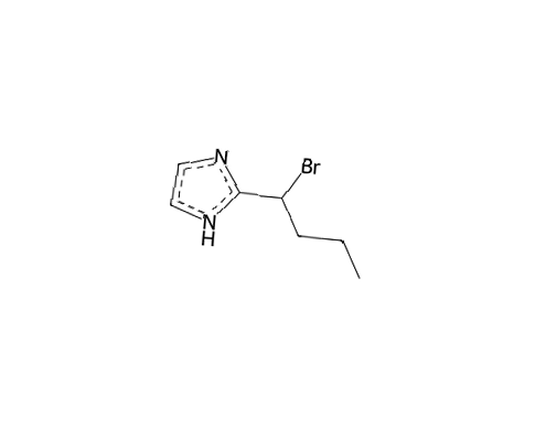 CCCC(Br)c1ncc[nH]1